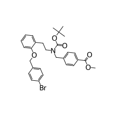 COC(=O)c1ccc(CN(CCc2ccccc2OCc2ccc(Br)cc2)C(=O)OC(C)(C)C)cc1